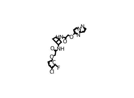 O=C(COc1ccc(Cl)c(F)c1)NC1CC2(NC(=O)COc3ccn4nccc4n3)CCC12